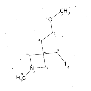 COCCC1(CI)CN(C)C1